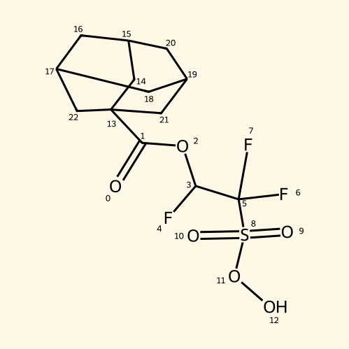 O=C(OC(F)C(F)(F)S(=O)(=O)OO)C12CC3CC(CC(C3)C1)C2